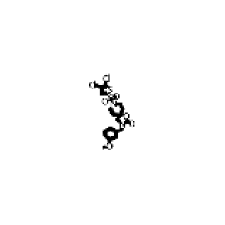 COc1cccc(CN2CC3(CCN(S(=O)(=O)c4cc(Cl)c(Cl)s4)CC3)OC2=O)c1